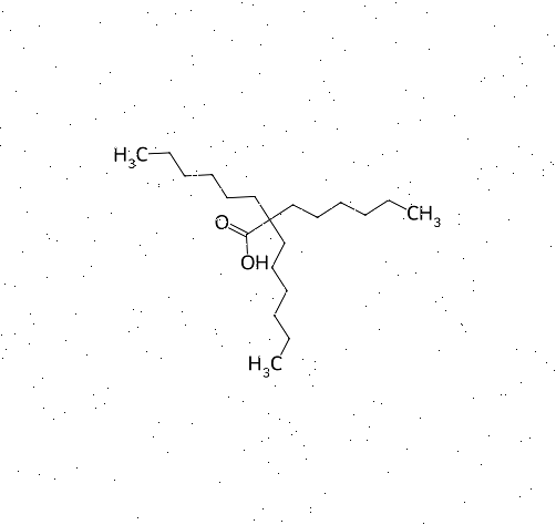 CCCCCCC(CCCCCC)(CCCCCC)C(=O)O